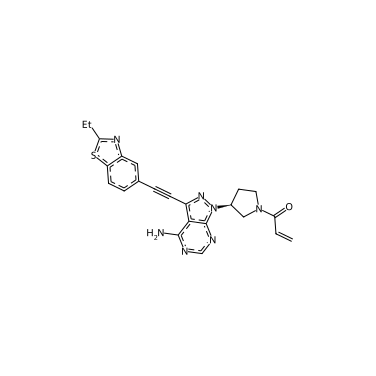 C=CC(=O)N1CC[C@H](n2nc(C#Cc3ccc4sc(CC)nc4c3)c3c(N)ncnc32)C1